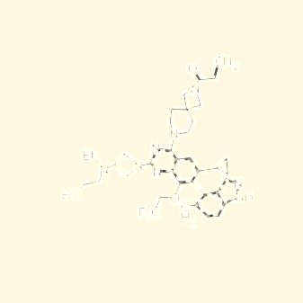 C=CC(=O)N1CC2(CCN(c3nc(N4CC(N(CC)CCO)C4)nc4c(OCC(F)(F)F)c(-c5c(C)ccc6[nH]ncc56)c(C5CC5)cc34)CC2)C1